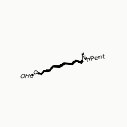 CCCCCN(C)CCCCCCCCCO[C]=O